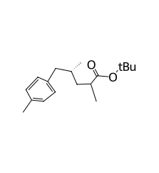 Cc1ccc(C[C@H](C)CC(C)C(=O)OC(C)(C)C)cc1